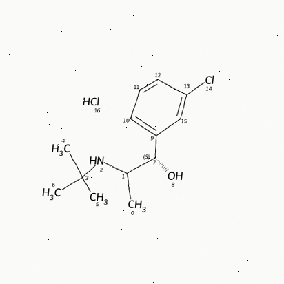 CC(NC(C)(C)C)[C@@H](O)c1cccc(Cl)c1.Cl